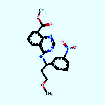 COCCC(Nc1ncnc2c(C(=O)OC)cccc12)c1cccc([N+](=O)[O-])c1